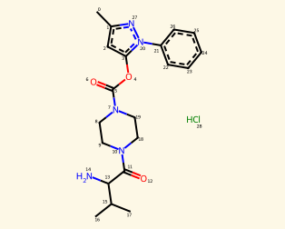 Cc1cc(OC(=O)N2CCN(C(=O)C(N)C(C)C)CC2)n(-c2ccccc2)n1.Cl